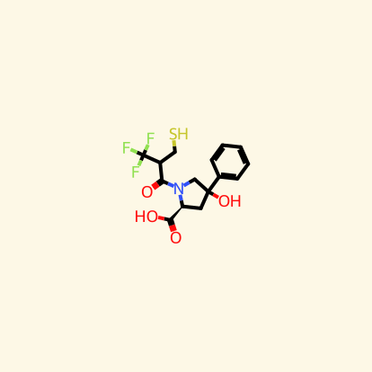 O=C(O)[C@@H]1CC(O)(c2ccccc2)CN1C(=O)C(CS)C(F)(F)F